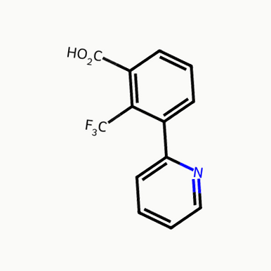 O=C(O)c1cccc(-c2ccccn2)c1C(F)(F)F